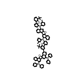 Cc1cccc(N(c2cc3c(oc4cc(N(c5cccc(C)c5)c5cccc6c5oc5c(C(C)(C)C)cccc56)c5ccccc5c43)c3ccccc23)c2cccc3c2oc2c(C(C)(C)C)cc(-c4ccc5c(N(c6ccccc6)c6ccccc6)cc6c7cc(N(c8ccccc8)c8ccccc8)c8ccccc8c7oc6c5c4)cc23)c1